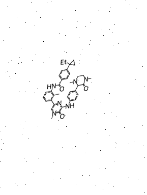 CCC1(c2ccc(C(=O)Nc3cccc(-c4cn(C)c(=O)c(Nc5ccc(C6C(=O)N(C)CCN6C)cc5)n4)c3C)cc2)CC1